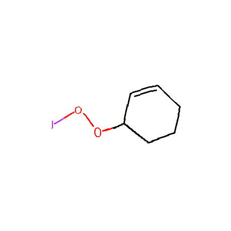 IOOC1C=CCCC1